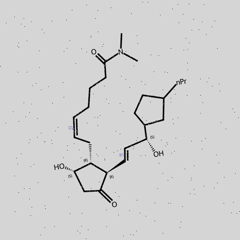 CCCC1CCC([C@H](O)/C=C/[C@H]2C(=O)C[C@H](O)[C@@H]2C/C=C\CCCC(=O)N(C)C)C1